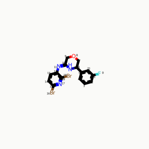 Fc1cccc(C2COC/C(=N/c3ccc(Br)nc3Br)N2)c1